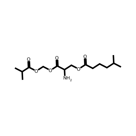 CC(C)CCCC(=O)OCC(N)C(=O)OCOC(=O)C(C)C